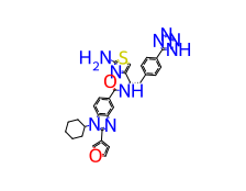 Nc1nc([C@H](Cc2ccc(-c3nnn[nH]3)cc2)NC(=O)c2ccc3c(c2)nc(-c2ccoc2)n3C2CCCCC2)cs1